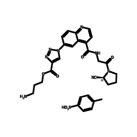 Cc1ccc(S(=O)(=O)O)cc1.N#C[C@@H]1CCCN1C(=O)CNC(=O)c1ccnc2ccc(-n3cc(C(=O)OCCCN)nn3)cc12